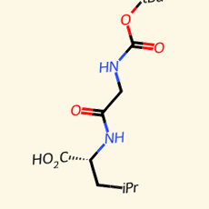 CC(C)C[C@@H](NC(=O)CNC(=O)OC(C)(C)C)C(=O)O